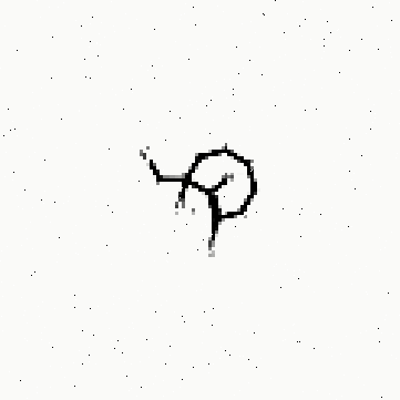 [2H]CC1(C)CCCCC/C(F)=C/1[3H]